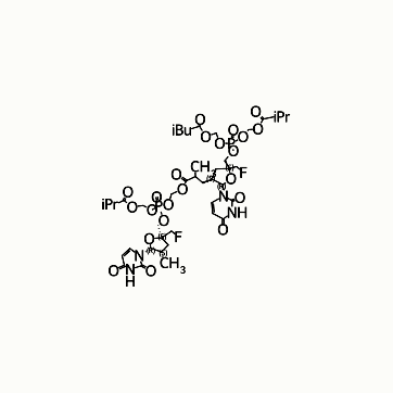 CCC(C)C(=O)OCOP(=O)(OCOC(=O)C(C)C)OC[C@]1(CF)C[C@H](CC(C)C(=O)OCOP(=O)(OCOC(=O)C(C)C)OC[C@]2(CF)C[C@H](C)[C@H](n3ccc(=O)[nH]c3=O)O2)[C@H](n2ccc(=O)[nH]c2=O)O1